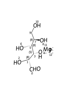 O=C[C@H](O)[C@@H](O)[C@H](O)[C@H](O)CO.[Mg].[P]